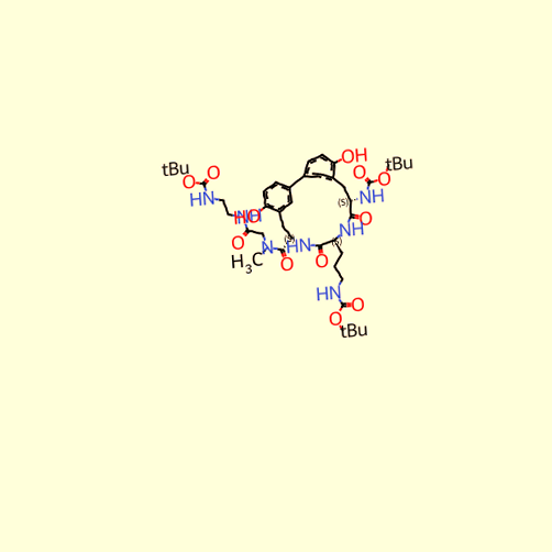 CN(CC(=O)NCCNC(=O)OC(C)(C)C)C(=O)[C@@H]1Cc2cc(ccc2O)-c2ccc(O)c(c2)C[C@H](NC(=O)OC(C)(C)C)C(=O)N[C@@H](CCCNC(=O)OC(C)(C)C)C(=O)N1